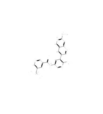 CNc1cc2ncc(-c3cc(NC(=O)c4cncc([C@H](O)C(F)(F)F)c4)cnc3C)cc2cn1